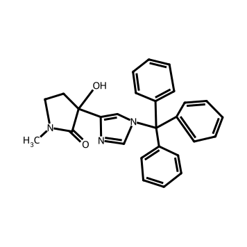 CN1CCC(O)(c2cn(C(c3ccccc3)(c3ccccc3)c3ccccc3)cn2)C1=O